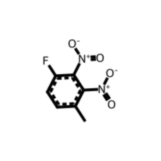 Cc1ccc(F)c([N+](=O)[O-])c1[N+](=O)[O-]